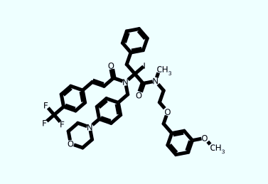 COc1cccc(COCCN(C)C(=O)C(I)(Cc2ccccc2)N(Cc2ccc(N3CCOCC3)cc2)C(=O)C=Cc2ccc(C(F)(F)F)cc2)c1